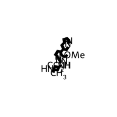 COc1nc(NC2CC(C)(NC(=O)O)C2)nn2ccc(-c3ccn4nccc4c3)c12